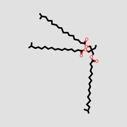 CCC(COC(=O)CCCCCCCCCCCCCCC(C)C)(COC(=O)CCCCCCCCCCCCCCC(C)C)COC(=O)CCCCCCCCCCCCCCC(C)C